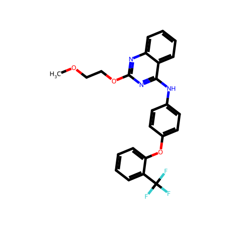 COCCOc1nc(Nc2ccc(Oc3ccccc3C(F)(F)F)cc2)c2ccccc2n1